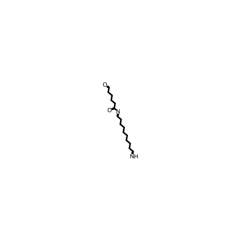 N=CCCCCCCCCC=NC(=O)CCCCC=O